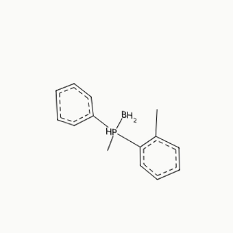 B[PH](C)(c1ccccc1)c1ccccc1C